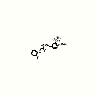 CCOc1ccccc1OCC(=O)N[C@H](C)Cc1ccc(OC)c(S(N)(=O)=O)c1